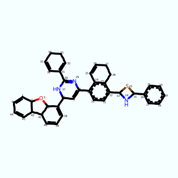 C1=CC2OC3C(C4C=C(c5ccc(C6NC(c7ccccc7)S6)c6c5C=CCC6)N=C(C5=CCCC=C5)N4)=CC=CC3C2C=C1